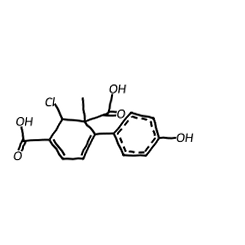 CC1(C(=O)O)C(c2ccc(O)cc2)=CC=C(C(=O)O)C1Cl